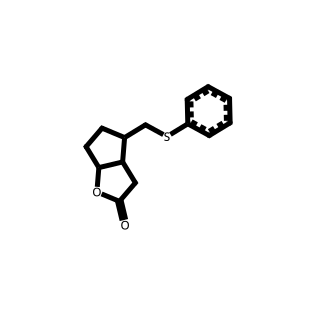 O=C1CC2C(CSc3ccccc3)CCC2O1